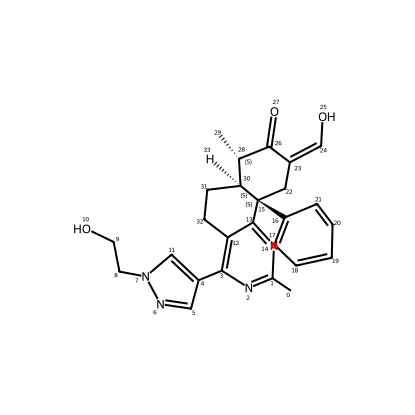 Cc1nc(-c2cnn(CCO)c2)c2c(n1)[C@@]1(c3ccccc3)CC(=CO)C(=O)[C@@H](C)[C@@H]1CC2